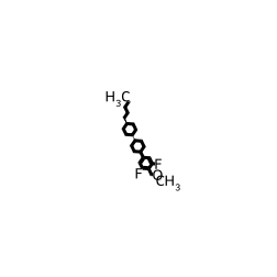 CCCCC[C@H]1CC[C@H](C2CCC(c3cc(F)c(COC)c(F)c3)CC2)CC1